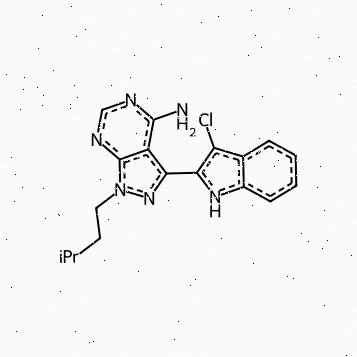 CC(C)CCn1nc(-c2[nH]c3ccccc3c2Cl)c2c(N)ncnc21